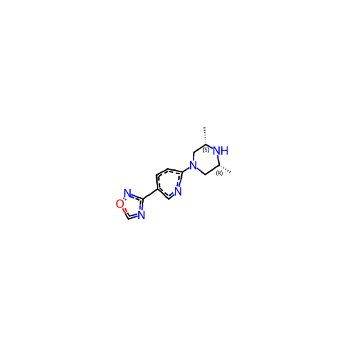 C[C@@H]1CN(c2ccc(-c3ncon3)cn2)C[C@H](C)N1